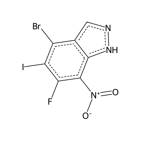 O=[N+]([O-])c1c(F)c(I)c(Br)c2cn[nH]c12